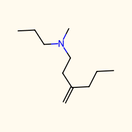 C=C(CCC)CCN(C)CCC